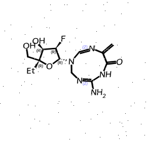 C=C1/N=C\N([C@@H]2O[C@](CC)(CO)[C@@H](O)[C@H]2F)C/N=C(/N)NC1=O